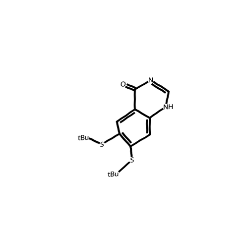 CC(C)(C)Sc1cc2[nH]cnc(=O)c2cc1SC(C)(C)C